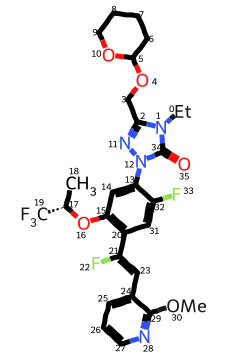 CCn1c(COC2CCCCO2)nn(-c2cc(O[C@@H](C)C(F)(F)F)c(/C(F)=C/c3cccnc3OC)cc2F)c1=O